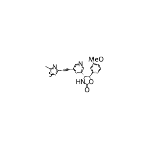 COc1cccc([C@H]2OC(=O)N[C@@H]2c2cncc(C#Cc3csc(C)n3)c2)c1